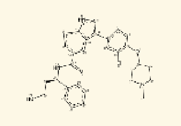 CN1CCC(Oc2ccc(-c3n[nH]c4ccc(C(=O)N[C@H](CCO)c5ccccc5)cc34)cc2Cl)CC1